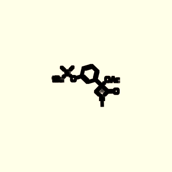 CC(=O)O[C@]1(c2cccc(O[Si](C)(C)C(C)(C)C)c2)CN(C)C1=O